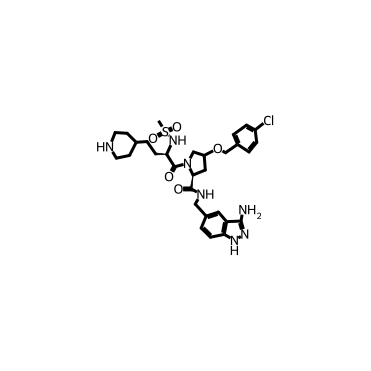 CS(=O)(=O)N[C@H](CCC1CCNCC1)C(=O)N1CC(OCc2ccc(Cl)cc2)C[C@H]1C(=O)NCc1ccc2[nH]nc(N)c2c1